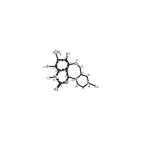 Cc1c(F)c2c3c(nc(=O)n(I)c3c1F)N1CCN(I)CC1CO2